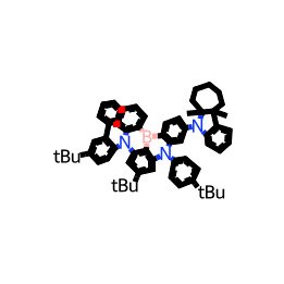 CC(C)(C)c1ccc(N2c3cc(N4c5ccccc5C5(C)CCCCCC45C)ccc3B3c4ccccc4N(c4ccc(C(C)(C)C)cc4-c4ccccc4)c4cc(C(C)(C)C)cc2c43)cc1